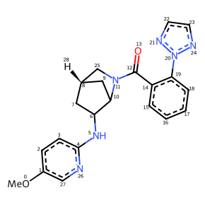 COc1ccc(NC2C[C@H]3CC2N(C(=O)c2ccccc2-n2nccn2)C3)nc1